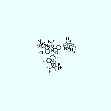 CC1(C)OB(c2ccc3c(=O)n(-c4ccc(Cl)c5c(NS(=O)(=O)C6CC6)nn(CC(F)F)c45)c([C@H](Cc4cc(F)cc(F)c4)NC(=O)Cn4nc(C(F)F)c5c4C(F)(F)[C@@H]4C[C@H]54)nc3c2)OC1(C)C